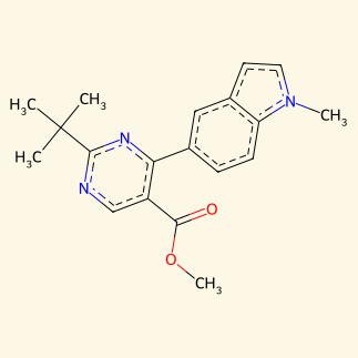 COC(=O)c1cnc(C(C)(C)C)nc1-c1ccc2c(ccn2C)c1